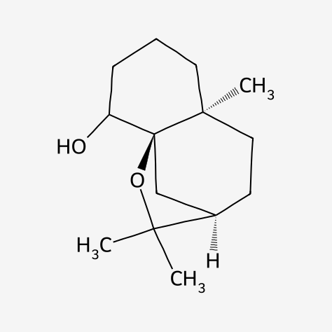 CC1(C)O[C@]23C[C@H]1CC[C@]2(C)CCCC3O